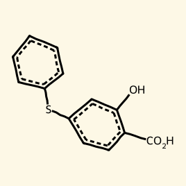 O=C(O)c1ccc(Sc2ccccc2)cc1O